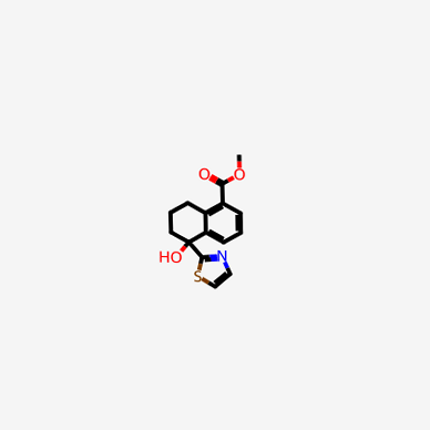 COC(=O)c1cccc2c1CCCC2(O)c1nccs1